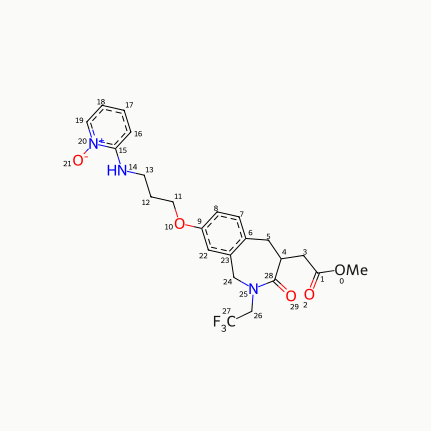 COC(=O)CC1Cc2ccc(OCCCNc3cccc[n+]3[O-])cc2CN(CC(F)(F)F)C1=O